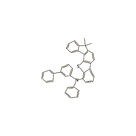 CC1(C)c2ccccc2-c2c1ccc1c2sc2c(N(c3ccccc3)c3cccc(-c4ccccc4)c3)cccc21